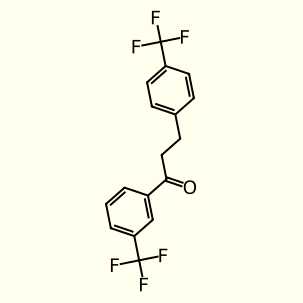 O=C(CCc1ccc(C(F)(F)F)cc1)c1cccc(C(F)(F)F)c1